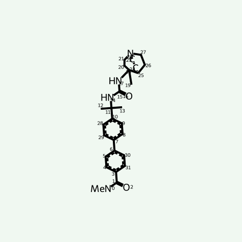 CNC(=O)c1ccc(-c2ccc(C(C)(C)NC(=O)NC3(C)CCN4CCC3CC4)cc2)cc1